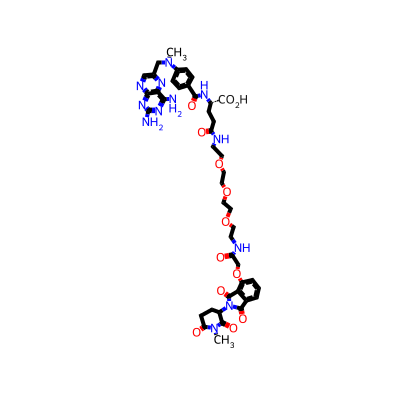 CN1C(=O)CCC(N2C(=O)c3cccc(OCC(=O)NCCOCCOCCOCCNC(=O)CC[C@H](NC(=O)c4ccc(N(C)Cc5cnc6nc(N)nc(N)c6n5)cc4)C(=O)O)c3C2=O)C1=O